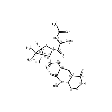 CC[C@H](C)[C@H](NC(=O)C(F)(F)F)C(=O)N1C[C@H]2[C@@H]([C@H]1C(=O)NN(C[C@@H]1CCCNC1=O)C(=O)OC(C)(C)C)C2(C)C